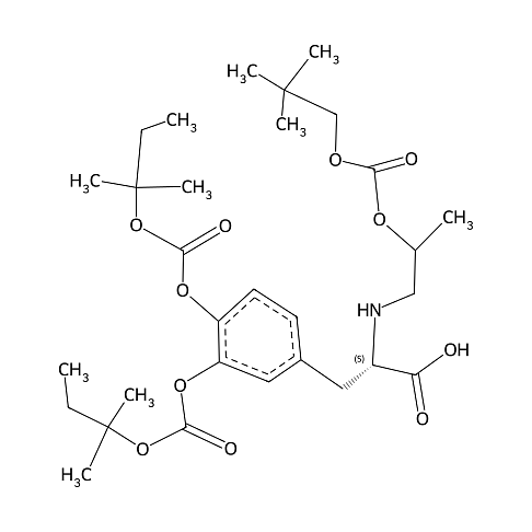 CCC(C)(C)OC(=O)Oc1ccc(C[C@H](NCC(C)OC(=O)OCC(C)(C)C)C(=O)O)cc1OC(=O)OC(C)(C)CC